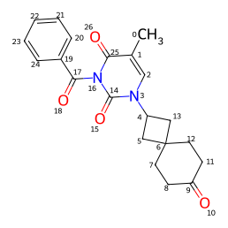 Cc1cn(C2CC3(CCC(=O)CC3)C2)c(=O)n(C(=O)c2ccccc2)c1=O